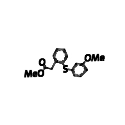 COC(=O)Cc1ccccc1Sc1cccc(OC)c1